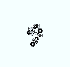 O=C(NC1CN(S(=O)(=O)c2ccccc2)C1)c1cccc(Sc2cc(Nc3ncnc4cccn34)n[nH]2)c1